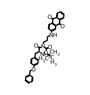 CC(C)(C)OC(=O)N(CCCNc1ccc2c(c1)C(=O)c1ccccc1C2=O)C(=O)[C@@H](N)Cc1ccc(OCc2ccccc2)cc1